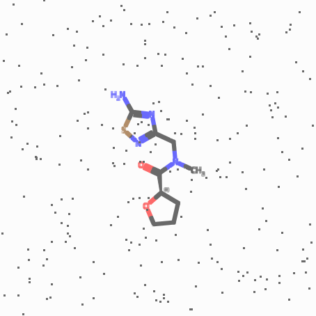 CN(Cc1nsc(N)n1)C(=O)[C@H]1CCCO1